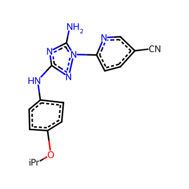 CC(C)Oc1ccc(Nc2nc(N)n(-c3ccc(C#N)cn3)n2)cc1